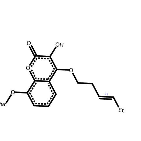 CC/C=C/CCOc1c(O)c(=O)oc2c(OCCCCCCCCCC)cccc12